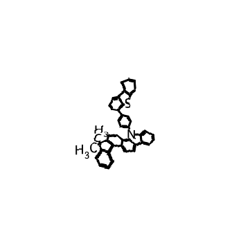 CC1(C)c2ccccc2-c2c1ccc1c2ccc2c3ccccc3n(-c3ccc(-c4cccc5c4sc4ccccc45)cc3)c12